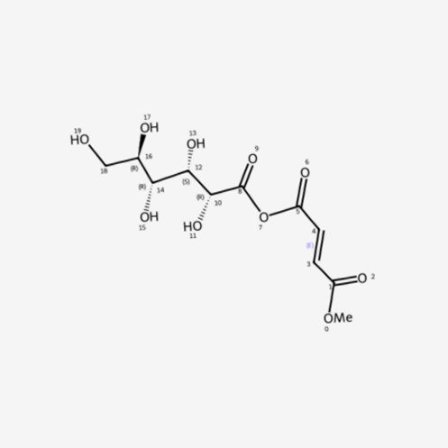 COC(=O)/C=C/C(=O)OC(=O)[C@H](O)[C@@H](O)[C@H](O)[C@H](O)CO